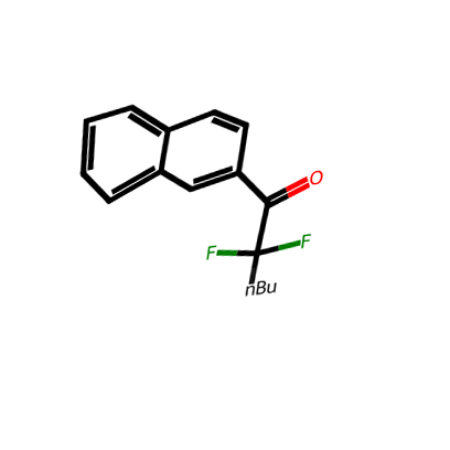 CCCCC(F)(F)C(=O)c1ccc2ccccc2c1